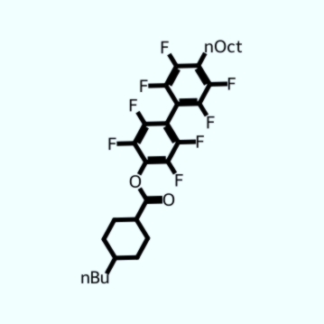 CCCCCCCCc1c(F)c(F)c(-c2c(F)c(F)c(OC(=O)C3CCC(CCCC)CC3)c(F)c2F)c(F)c1F